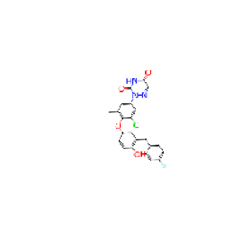 Cc1cc(-n2ncc(=O)[nH]c2=O)cc(Cl)c1Oc1ccc(O)c(Cc2ccc(F)cc2)c1